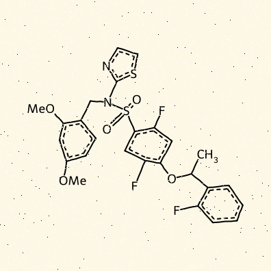 COc1ccc(CN(c2nccs2)S(=O)(=O)c2cc(F)c(OC(C)c3ccccc3F)cc2F)c(OC)c1